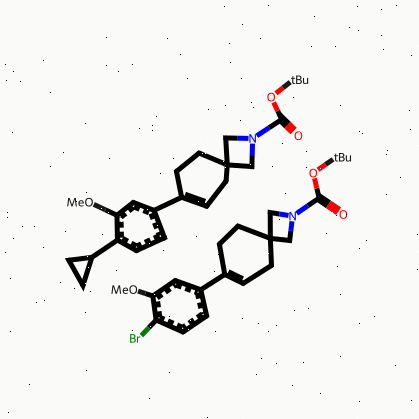 COc1cc(C2=CCC3(CC2)CN(C(=O)OC(C)(C)C)C3)ccc1Br.COc1cc(C2=CCC3(CC2)CN(C(=O)OC(C)(C)C)C3)ccc1C1CC1